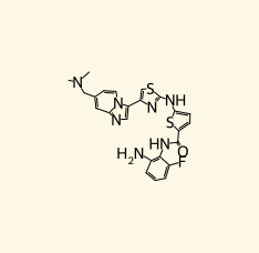 CN(C)Cc1ccn2c(-c3csc(Nc4ccc(C(=O)Nc5c(N)cccc5F)s4)n3)cnc2c1